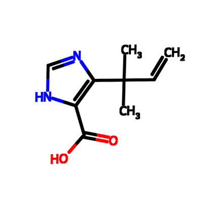 C=CC(C)(C)c1nc[nH]c1C(=O)O